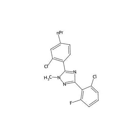 CCCc1ccc(-c2nc(-c3c(F)cccc3Cl)nn2C)c(Cl)c1